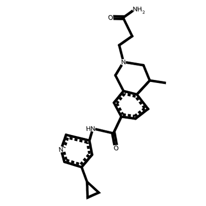 CC1CN(CCC(N)=O)Cc2cc(C(=O)Nc3cncc(C4CC4)c3)ccc21